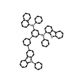 c1ccc(N(c2cc(-c3cccc(-c4ccc5c(c4)c4ccccc4n5-c4ccccc4)c3)cc(N(c3ccccc3)c3cccc4c3sc3ccccc34)c2)c2cccc3ccccc23)cc1